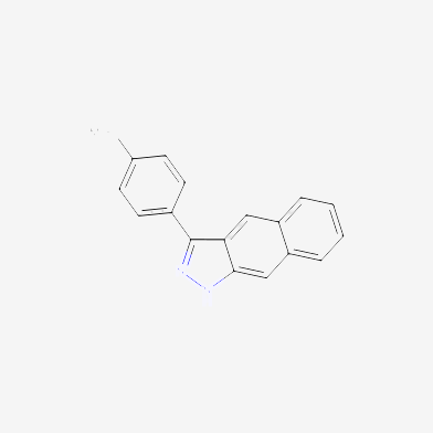 COc1ccc(-c2n[nH]c3cc4ccccc4cc23)cc1